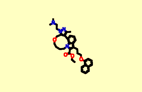 CCOC(=O)c1c(CCCOc2cccc3ccccc23)c2cccc3c2n1CCCCOCc1c-3c(C)nn1CCN(C)C